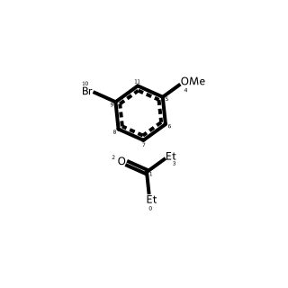 CCC(=O)CC.COc1cccc(Br)c1